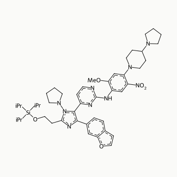 COc1cc(N2CCC(N3CCCC3)CC2)c([N+](=O)[O-])cc1Nc1nccc(-c2c(-c3ccc4ccoc4c3)nc(CCO[Si](C(C)C)(C(C)C)C(C)C)n2N2CCCC2)n1